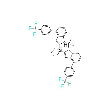 CC[Si]1(CC)C2=Cc3c(-c4ccc(C(F)(F)F)cc4)cccc3[CH]2[Hf]([CH3])([CH3])[CH]2C1=Cc1c(-c3ccc(C(F)(F)F)cc3)cccc12